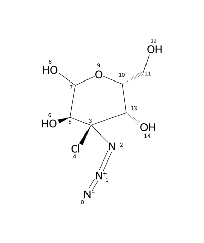 [N-]=[N+]=N[C@]1(Cl)[C@@H](O)C(O)O[C@H](CO)[C@@H]1O